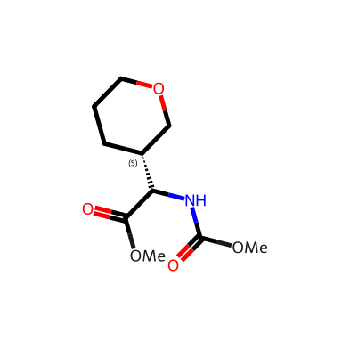 COC(=O)NC(C(=O)OC)[C@@H]1CCCOC1